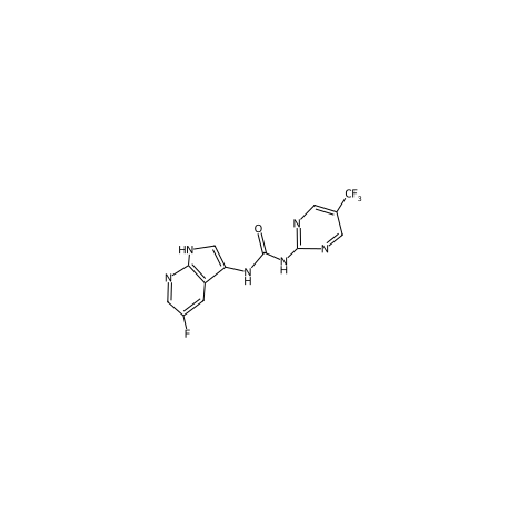 O=C(Nc1ncc(C(F)(F)F)cn1)Nc1c[nH]c2ncc(F)cc12